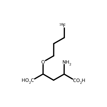 NC(CC(OCCC[18F])C(=O)O)C(=O)O